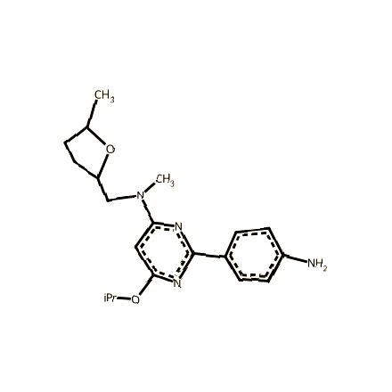 CC(C)Oc1cc(N(C)CC2CCC(C)O2)nc(-c2ccc(N)cc2)n1